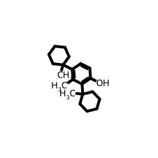 Cc1c(C2(C)CCCCC2)ccc(O)c1C1(C)CCCCC1